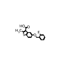 Cc1sc2ccc(OCc3ccccc3F)cc2c1C(=O)O